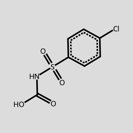 O=C(O)NS(=O)(=O)c1ccc(Cl)cc1